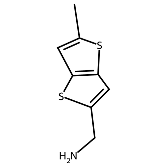 Cc1cc2sc(CN)cc2s1